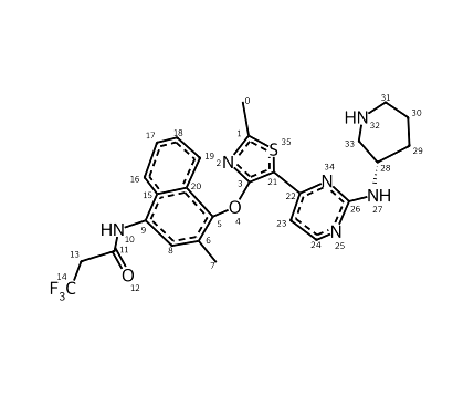 Cc1nc(Oc2c(C)cc(NC(=O)CC(F)(F)F)c3ccccc23)c(-c2ccnc(N[C@H]3CCCNC3)n2)s1